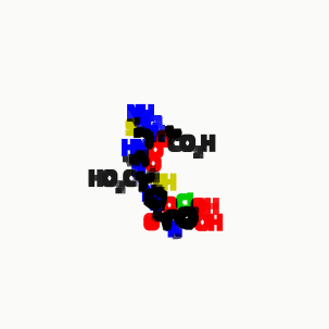 C[C@H](S)/C(C[N+]12CCC(CC1)N(C(=O)c1cn(C)c3cc(O)c(O)c(Cl)c3c1=O)CC2)=C(/C(=O)O)N1C(=O)[C@@H](NC(=O)/C(=N\OC(C)(C)C(=O)O)c2csc(N)n2)[C@H]1C